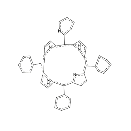 C1=Cc2nc1c(-c1ccccc1)c1ccc([nH]1)c(-c1ccccc1)c1nc(c(-c3ccccn3)c3ccc([nH]3)c2-c2ccccc2)C=C1